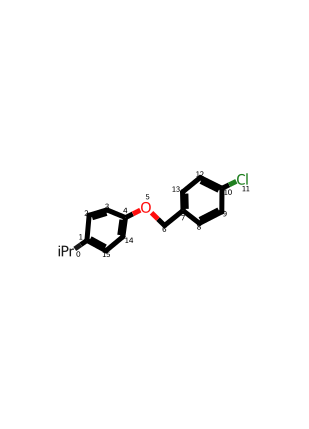 CC(C)c1ccc(OCc2ccc(Cl)cc2)cc1